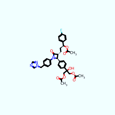 CC(=O)OCC(O)(COC(C)=O)c1ccc([C@@H]2[C@@H](CC[C@H](OC(C)=O)c3ccc(F)cc3)C(=O)N2c2ccc(Cn3cncn3)cc2)cc1